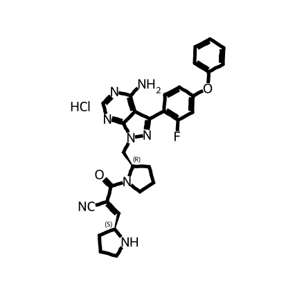 Cl.N#CC(=C[C@@H]1CCCN1)C(=O)N1CCC[C@@H]1Cn1nc(-c2ccc(Oc3ccccc3)cc2F)c2c(N)ncnc21